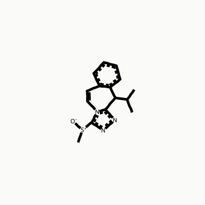 CC(C)C1c2ccccc2C=Cn2c1nnc2[S+](C)[O-]